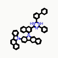 C1=CCC(c2cccc(C3NC(C4=CC(N5C6=Cc7ccccc7CC6C6C=CC(n7c8ccccc8c8ccc9ccccc9c87)CC65)=C5C=CC=CC5C4)=NC(c4ccccc4)N3)c2)C=C1